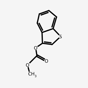 COC(=O)Oc1csc2ccccc12